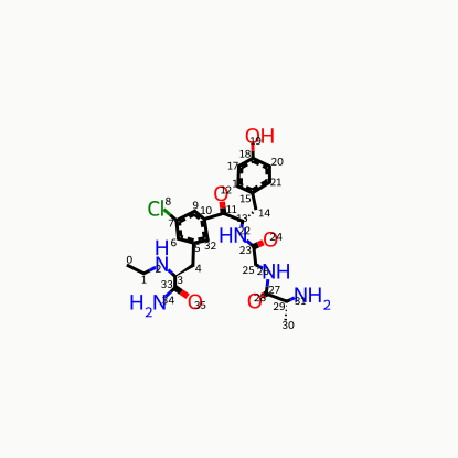 CCN[C@@H](Cc1cc(Cl)cc(C(=O)[C@H](Cc2ccc(O)cc2)NC(=O)CNC(=O)[C@@H](C)N)c1)C(N)=O